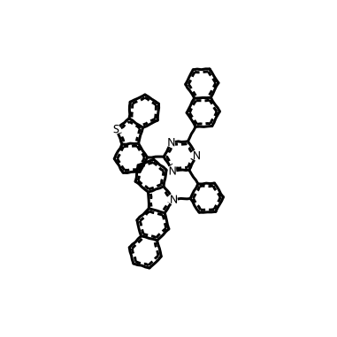 c1ccc(-n2c3ccccc3c3cc4ccccc4cc32)c(-c2nc(-c3ccc4ccccc4c3)nc(-c3cccc4sc5ccccc5c34)n2)c1